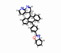 c1ccc2oc(-c3ccc(-c4c5ccccc5c(-c5ccnc6ncccc56)c5ccccc45)cc3)nc2c1